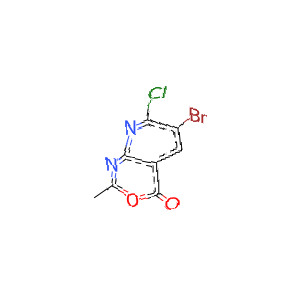 Cc1nc2nc(Cl)c(Br)cc2c(=O)o1